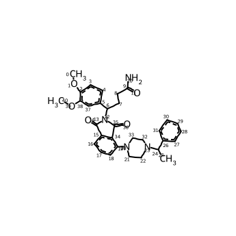 COc1ccc(C(CCC(N)=O)N2C(=O)c3cccc(N4CCN(C(C)c5ccccc5)CC4)c3C2=O)cc1OC